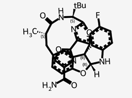 C[C@H]1Cc2ccc3c(c2)[C@@]2(c4cc(F)ccc4N[C@@H]2O3)c2oc(nc2-c2nc(C(N)=O)co2)[C@H](C(C)(C)C)NC1=O